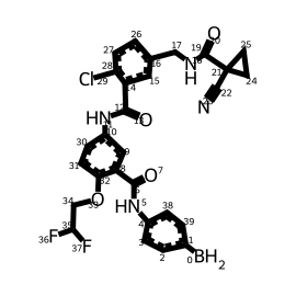 Bc1ccc(NC(=O)c2cc(NC(=O)c3cc(CNC(=O)C4(C#N)CC4)ccc3Cl)ccc2OCC(F)F)cc1